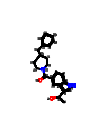 CC(=O)c1c[nH]c2ccc(C(=O)N3CCC(Cc4ccccc4)CC3)cc12